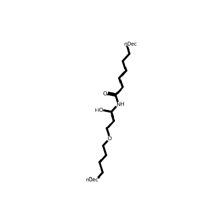 CCCCCCCCCCCCCCCC(=O)NC(O)CCOCCCCCCCCCCCCCC